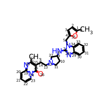 Cc1ccc(Cn2c(NC3CCN(CCc4c(C)nc5ccccn5c4=O)C3)nc3ccccc32)o1